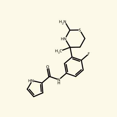 CC1(c2cc(NC(=O)c3ccc[nH]3)ccc2F)CCSC(N)N1